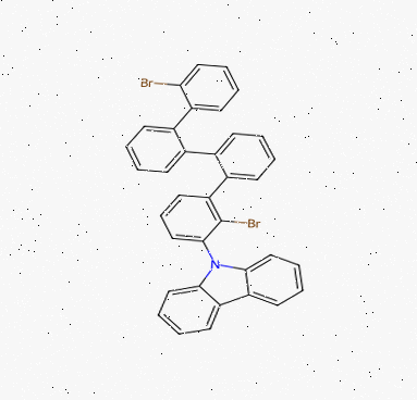 Brc1ccccc1-c1ccccc1-c1ccccc1-c1cccc(-n2c3ccccc3c3ccccc32)c1Br